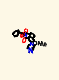 COC1(N2CCN(C)CC2)C=c2cccc3c2=C(C1)C(=O)N(OCc1ccccc1)C3=O